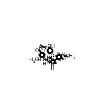 COc1cc(C(=O)N2CC2)ccc1Nc1nc(OC2CCC(C)(O)CC2)c2c(-c3ccc4nc(C)oc4c3)c[nH]c2n1